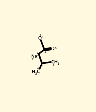 CC(C)CC(=O)[O-].[Na+]